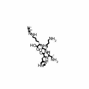 C[C@H](N)C(=O)N[C@@H](Cc1c[nH]cn1)C(=O)N[C@@H](CCCCN)C(=O)N[C@@H](CCCCNN=[N+]=[N-])C(=O)O